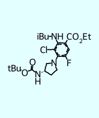 CCOC(=O)c1cc(F)c(N2CC[C@H](NC(=O)OC(C)(C)C)C2)c(Cl)c1NC(C)CC